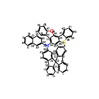 c1ccc2c(c1)-c1ccccc1C21c2ccccc2-c2ccc(N(c3ccc4ccccc4c3)c3cc4sc5ccccc5c4c4oc5ccccc5c34)cc21